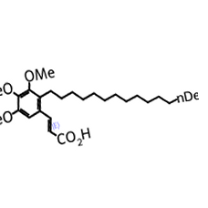 CCCCCCCCCCCCCCCCCCCCCCc1c(/C=C/C(=O)O)cc(OC)c(OC)c1OC